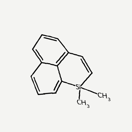 C[Si]1(C)C=Cc2cccc3cccc1c23